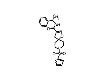 CC(NC(=O)C1=NOC2(CCN(S(=O)(=O)c3cccs3)CC2)C1)c1ccccc1